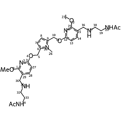 COc1nc(OCc2ccc(COc3ccc(CNCCNC(C)=O)c(OI)n3)n2C)ccc1CNCCNC(C)=O